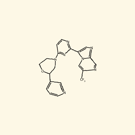 FC(F)(F)c1cn2c(-c3nccc(N4CCOC(c5cccnc5)C4)n3)cnc2cn1